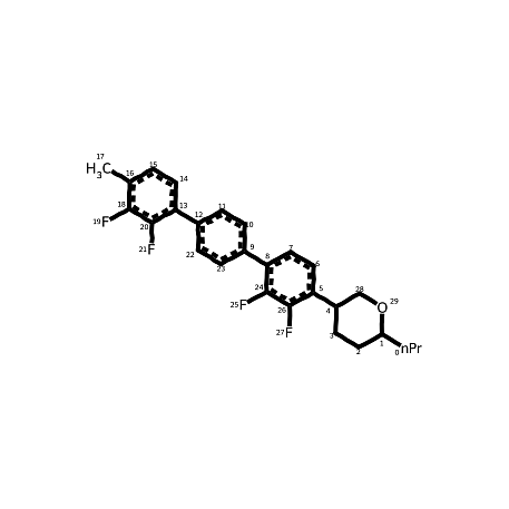 CCCC1CCC(c2ccc(-c3ccc(-c4ccc(C)c(F)c4F)cc3)c(F)c2F)CO1